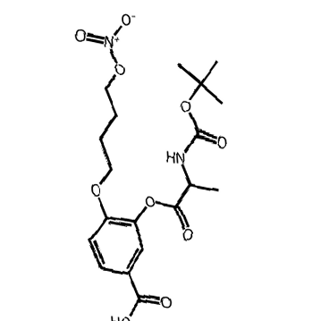 CC(NC(=O)OC(C)(C)C)C(=O)Oc1cc(C(=O)O)ccc1OCCCCO[N+](=O)[O-]